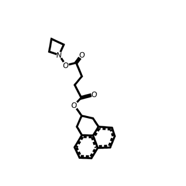 O=C(CCC(=O)ON1CCC1)OC1Cc2cccc3cccc(c23)C1